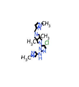 Cn1cc(Nc2ncc(Cl)c(N3CC4(C)CN(Cc5ccn(C)n5)CC4(C)C3)n2)cn1